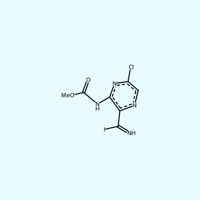 COC(=O)Nc1nc(Cl)cnc1C(=N)I